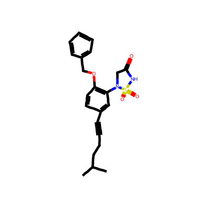 CC(C)CCC#Cc1ccc(OCc2ccccc2)c(N2CC(=O)NS2(=O)=O)c1